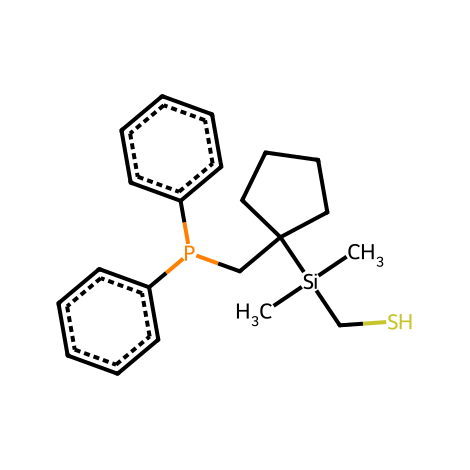 C[Si](C)(CS)C1(CP(c2ccccc2)c2ccccc2)CCCC1